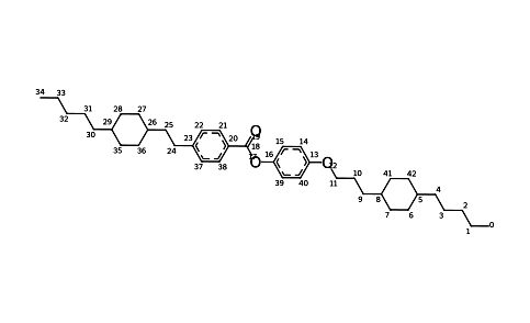 CCCCCC1CCC(CCCOc2ccc(OC(=O)c3ccc(CCC4CCC(CCCCC)CC4)cc3)cc2)CC1